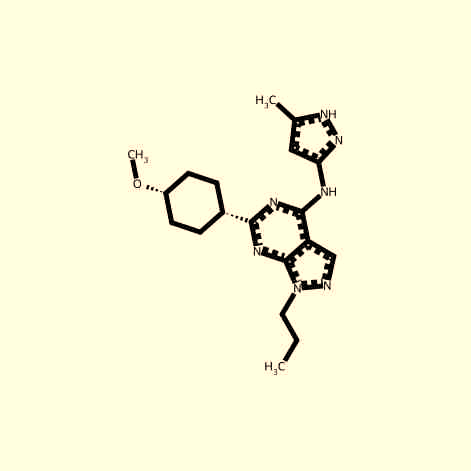 CCCn1ncc2c(Nc3cc(C)[nH]n3)nc([C@H]3CC[C@@H](OC)CC3)nc21